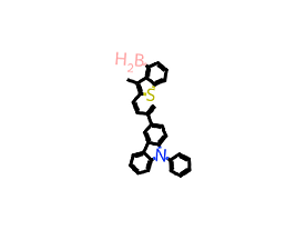 Bc1cccc2sc(/C=C\C(=C)c3ccc4c(c3)c3ccccc3n4-c3ccccc3)c(C)c12